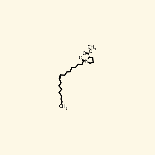 CCCCCCCC/C=C\CCCCCCCC(=O)N1CCC[C@H]1C(=O)OC